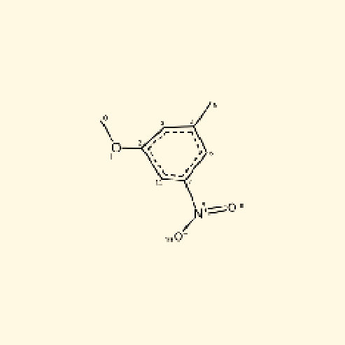 COc1cc(C)cc([N+](=O)[O-])c1